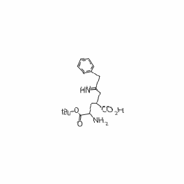 CC(C)(C)OC(=O)C(N)CC(CC(=N)Cc1ccccc1)C(=O)O